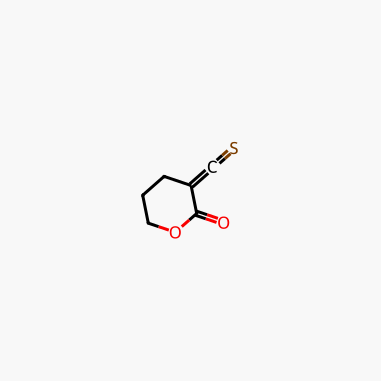 O=C1OCCCC1=C=S